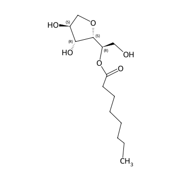 CCCCCCCC(=O)O[C@H](CO)[C@H]1OC[C@H](O)[C@H]1O